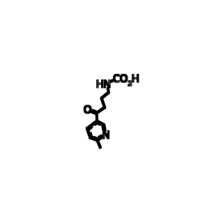 Cc1ccc(C(=O)CCCNC(=O)O)cn1